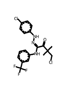 CC(C)(CCl)C(=O)/C(=N\Nc1ccc(Cl)cc1)Nc1cccc(C(F)(F)F)c1